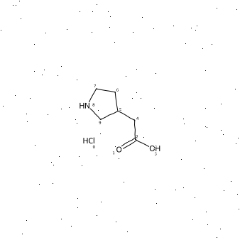 Cl.O=C(O)CC1CCNC1